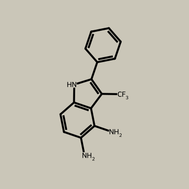 Nc1ccc2[nH]c(-c3ccccc3)c(C(F)(F)F)c2c1N